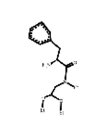 CCOC(CN(CC)C(=O)[C@@H](N)Cc1ccccc1)OCC